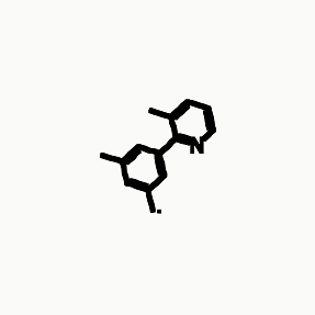 [CH2]c1cc(C)cc(-c2ncccc2C)c1